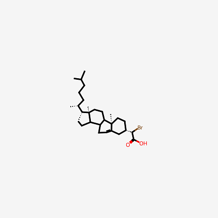 CC(C)CCC[C@@H](C)[C@H]1CCC2C3CC=C4C[C@@H](C(Br)C(=O)O)CC[C@]4(C)C3CC[C@@]21C